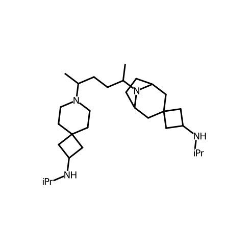 CC(C)NC1CC2(CCN(C(C)CCC(C)N3C4CCC3CC3(CC(NC(C)C)C3)C4)CC2)C1